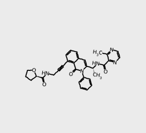 Cc1nccnc1C(=O)N[C@H](C)c1cc2cccc(C#CCNC(=O)[C@H]3CCCO3)c2c(=O)n1-c1ccccc1